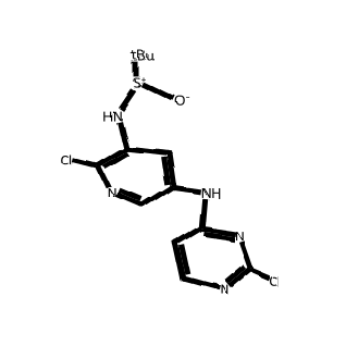 CC(C)(C)[S+]([O-])Nc1cc(Nc2ccnc(Cl)n2)cnc1Cl